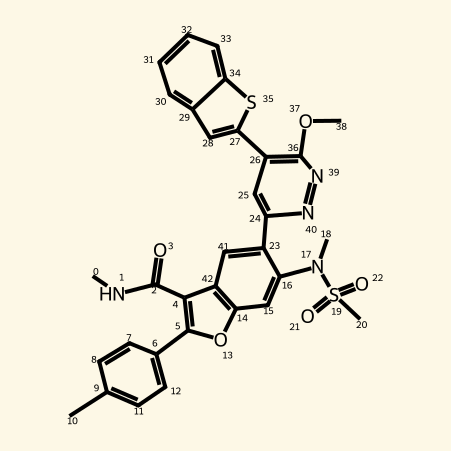 CNC(=O)c1c(-c2ccc(C)cc2)oc2cc(N(C)S(C)(=O)=O)c(-c3cc(-c4cc5ccccc5s4)c(OC)nn3)cc12